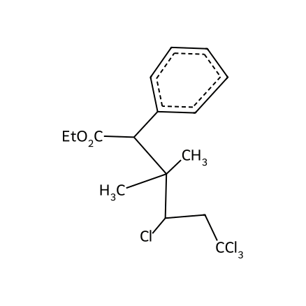 CCOC(=O)C(c1ccccc1)C(C)(C)C(Cl)CC(Cl)(Cl)Cl